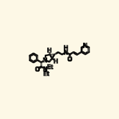 CCN(CC)C(=O)C(c1ccccc1)N1C[C@@H]2[C@@H](CCNC(=O)/C=C/c3cccnc3)[C@@H]2C1